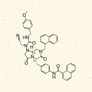 COc1ccc(CNC(=O)N(CC#N)N2CC(=O)N3[C@@H](Cc4ccc(NC(=O)c5cccc6ccccc56)cc4)C(=O)N(Cc4cccc5ccccc45)C[C@@H]32)cc1